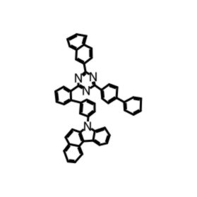 c1ccc(-c2ccc(-c3nc(-c4ccc5ccccc5c4)nc(-c4ccccc4-c4cccc(-n5c6ccccc6c6c7ccccc7ccc65)c4)n3)cc2)cc1